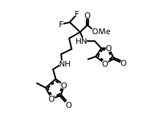 COC(=O)C(CCCNCc1oc(=O)oc1C)(NCc1oc(=O)oc1C)C(F)F